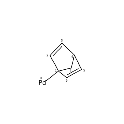 [Pd][C]12C=CC(C=C1)C2